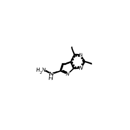 Cc1nc(C)c2c(n1)N=C(NN)C2